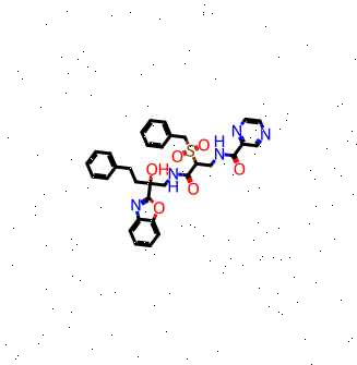 O=C(NCC(C(=O)NCC(O)(CCc1ccccc1)c1nc2ccccc2o1)S(=O)(=O)Cc1ccccc1)c1cnccn1